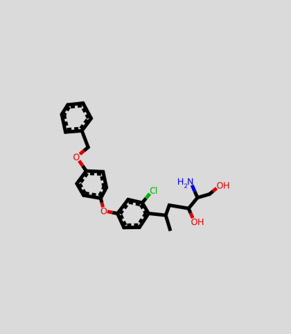 CC(CC(O)C(N)CO)c1ccc(Oc2ccc(OCc3ccccc3)cc2)cc1Cl